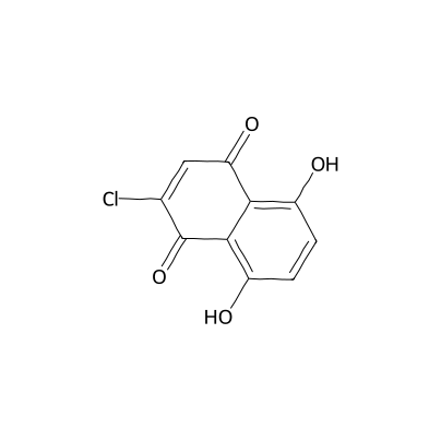 O=C1C=C(Cl)C(=O)c2c(O)ccc(O)c21